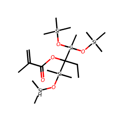 C=C(C)C(=O)OC(CC)([Si](C)(C)O[SiH](C)C)[Si](C)(O[Si](C)(C)C)O[Si](C)(C)C